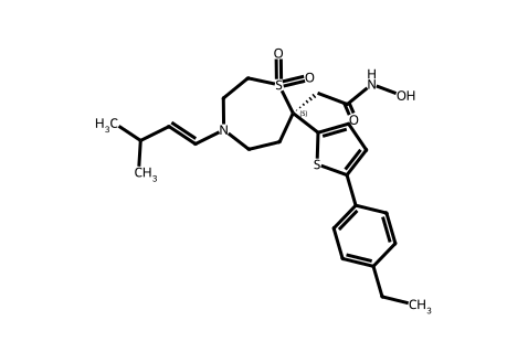 CCc1ccc(-c2ccc([C@@]3(CC(=O)NO)CCN(C=CC(C)C)CCS3(=O)=O)s2)cc1